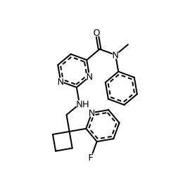 CN(C(=O)c1ccnc(NCC2(c3ncccc3F)CCC2)n1)c1ccccc1